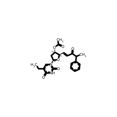 CCc1cn([C@H]2C[C@H](OC(C)=O)[C@@H](C=CC(=O)C(C)c3ccccc3)O2)c(=O)[nH]c1=O